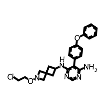 Nc1ncnc(NC2CC3(C2)CN(OCCCl)C3)c1-c1ccc(Oc2ccccc2)cc1